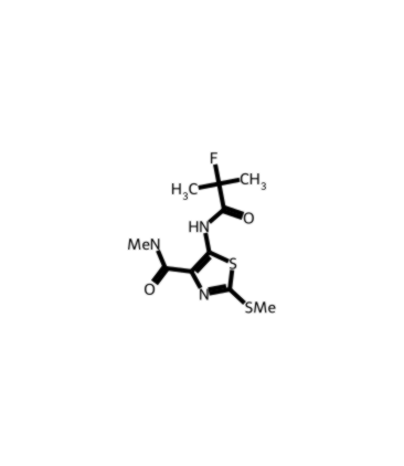 CNC(=O)c1nc(SC)sc1NC(=O)C(C)(C)F